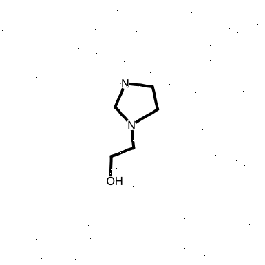 OCCN1CC[N]C1